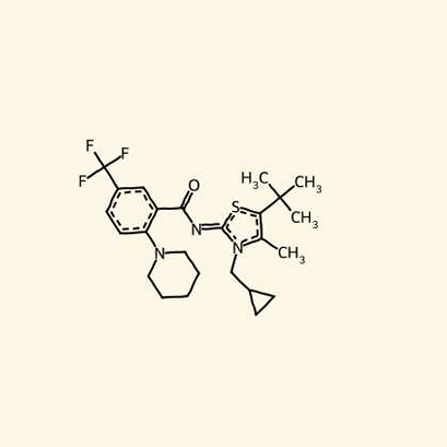 Cc1c(C(C)(C)C)s/c(=N\C(=O)c2cc(C(F)(F)F)ccc2N2CCCCC2)n1CC1CC1